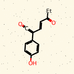 CCC(=O)C=CC(=C=O)c1ccc(O)cc1